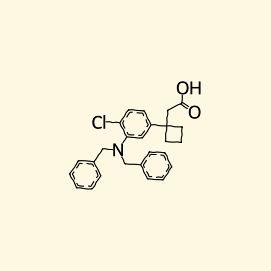 O=C(O)CC1(c2ccc(Cl)c(N(Cc3ccccc3)Cc3ccccc3)c2)CCC1